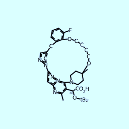 Cc1nc2cc3nn2c(c1[C@H](OC(C)(C)C)C(=O)O)N1CCC(C)(CC1)OCCCCOc1c(F)cccc1Cc1cnn-3c1